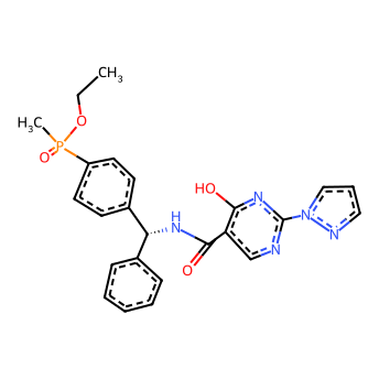 CCOP(C)(=O)c1ccc([C@H](NC(=O)c2cnc(-n3cccn3)nc2O)c2ccccc2)cc1